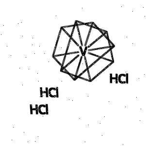 Cl.Cl.Cl.[CH]12[CH]3[CH]4[CH]5[CH]1[V]23451678[CH]2[CH]1[CH]6[CH]7[CH]28